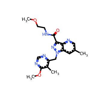 COCCNC(=O)c1nn(Cc2ncnc(OC)c2C)c2cc(C)cnc12